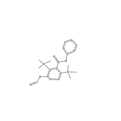 CC(C)(C)c1ccc(O[C]=O)c(C(C)(C)C)c1C(=O)Oc1ccccc1